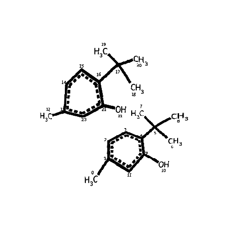 Cc1ccc(C(C)(C)C)c(O)c1.Cc1ccc(C(C)(C)C)c(O)c1